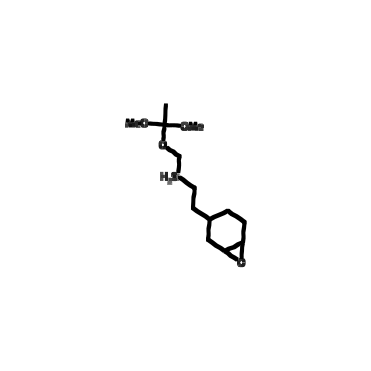 COC(C)(OC)OC[SiH2]CCC1CCC2OC2C1